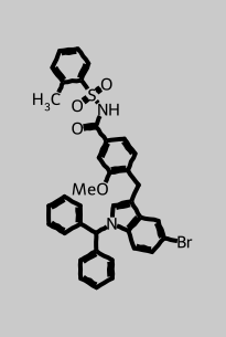 COc1cc(C(=O)NS(=O)(=O)c2ccccc2C)ccc1Cc1cn(C(c2ccccc2)c2ccccc2)c2ccc(Br)cc12